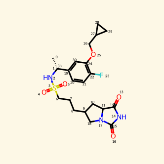 C[C@@H](NS(=O)(=O)CCCC1CC2C(=O)NC(=O)N2C1)c1ccc(F)c(OCC2CC2)c1